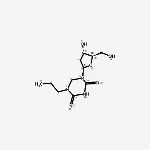 CCCN1CN([C@H]2C[C@H](O)[C@@H](CO)O2)C(=O)NC1=N